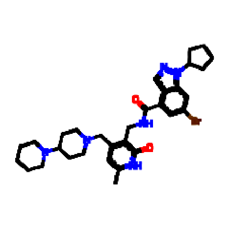 Cc1cc(CN2CCC(N3CCCCC3)CC2)c(CNC(=O)c2cc(Br)cc3c2cnn3C2CCCC2)c(=O)[nH]1